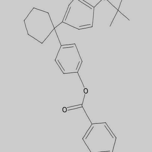 CC(C)(C)Oc1ccc(C2(c3ccc(OC(=O)c4ccccc4)cc3)CCCCC2)cc1